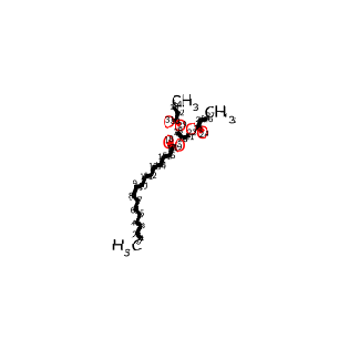 CCCCCCCC/C=C\CCCCCCCC(=O)OC(COC(=O)CCC)COC(=O)CCC